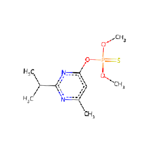 COP(=S)(OC)Oc1cc(C)nc(C(C)C)n1